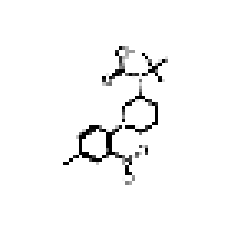 CC(C)(C)N(C(=O)O)C1CCCN(c2ccc(F)cc2[N+](=O)[O-])C1